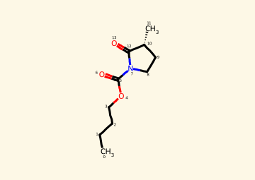 CCCCOC(=O)N1CC[C@@H](C)C1=O